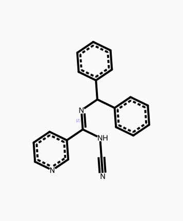 N#CN/C(=N\C(c1ccccc1)c1ccccc1)c1cccnc1